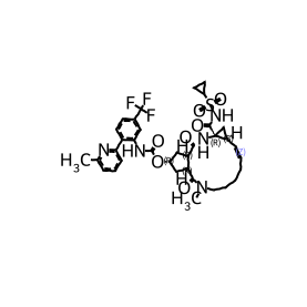 Cc1cccc(-c2ccc(C(F)(F)F)cc2NC(=O)O[C@@H]2C[C@H]3C(=O)N[C@]4(C(=O)NS(=O)(=O)C5CC5)C[C@H]4/C=C\CCCCN(C)C(=O)[C@@H]3C2)n1